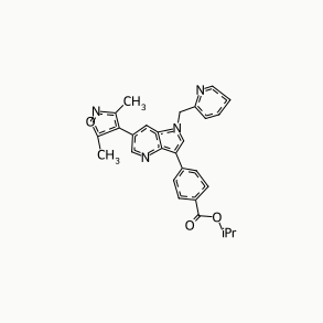 Cc1noc(C)c1-c1cnc2c(-c3ccc(C(=O)OC(C)C)cc3)cn(Cc3ccccn3)c2c1